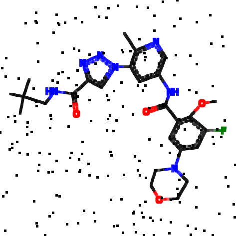 COc1c(F)cc(N2CCOCC2)cc1C(=O)Nc1cnc(C)c(-n2cc(C(=O)NCC(C)(C)C)nn2)c1